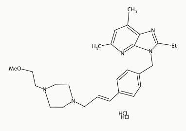 CCc1nc2c(C)cc(C)nc2n1Cc1ccc(C=CCN2CCN(CCOC)CC2)cc1.Cl.Cl